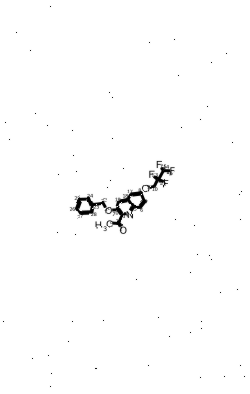 CC(=O)c1nc2ccc(OCC(F)(F)C(F)F)cc2cc1OCc1ccccc1